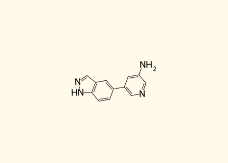 Nc1cncc(-c2ccc3[nH]ncc3c2)c1